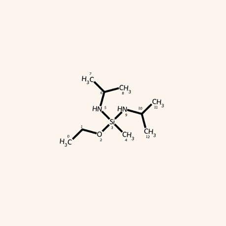 CCO[Si](C)(NC(C)C)NC(C)C